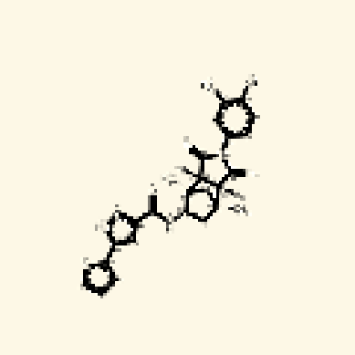 C[C@]12O[C@](C)(C[C@H]1NC(=O)c1cc(-c3cccs3)[nH]n1)[C@H]1C(=O)N(c3ccc(C#N)c(C(F)(F)F)c3)C(=O)[C@H]12